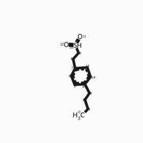 CCCCc1ccc(CC[SH](=O)=O)cc1